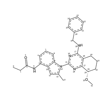 CCC(=O)Nc1cccc2c1cc(C)n2-c1nc(NCc2ccccc2)c2c(n1)[C@@H](OC)CCC2